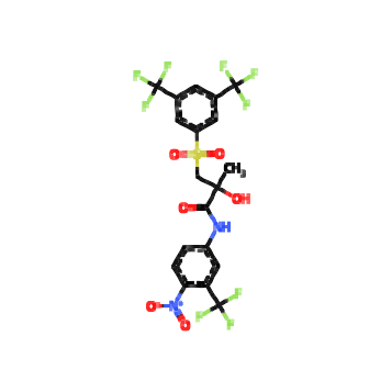 CC(O)(CS(=O)(=O)c1cc(C(F)(F)F)cc(C(F)(F)F)c1)C(=O)Nc1ccc([N+](=O)[O-])c(C(F)(F)F)c1